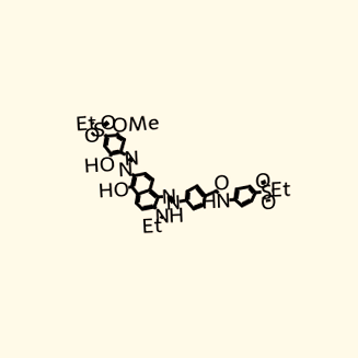 CCNc1ccc2c(O)c(/N=N/c3cc(OC)c(S(=O)(=O)CC)cc3O)ccc2c1/N=N/c1ccc(C(=O)Nc2ccc(S(=O)(=O)CC)cc2)cc1